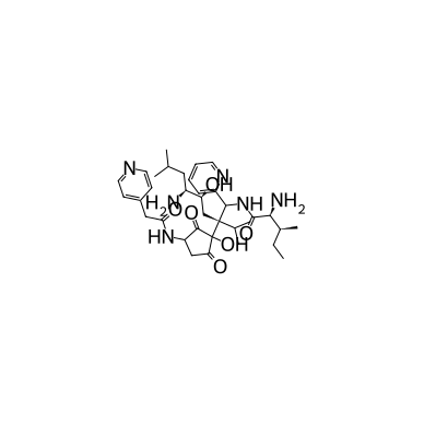 CC[C@H](C)[C@H](N)C(=O)NC(c1ccccn1)[C@](C[C@H](O)[C@@H](N)CC(C)C)(C(C)C)C1(O)C(=O)CC(NC(=O)Cc2ccncc2)C1=O